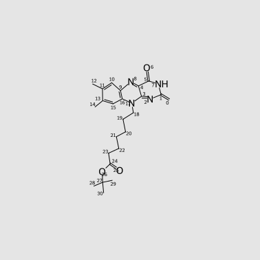 C=c1nc2c(c(=O)[nH]1)=Nc1cc(C)c(C)cc1N2CCCCCCC(=O)OC(C)(C)C